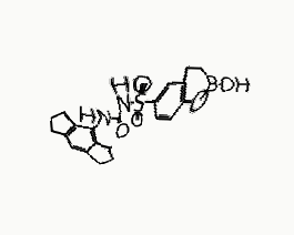 O=C(Nc1c2c(cc3c1CCC3)CCC2)NS(=O)(=O)c1ccc2c(c1)CCB(O)O2